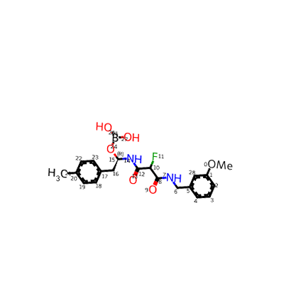 COc1cccc(CNC(=O)C(F)C(=O)N[C@@H](Cc2ccc(C)cc2)OB(O)O)c1